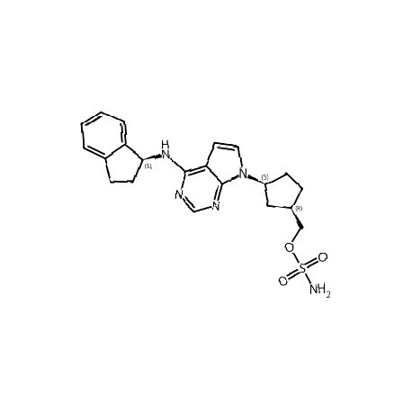 NS(=O)(=O)OC[C@@H]1CC[C@H](n2ccc3c(N[C@H]4CCc5ccccc54)ncnc32)C1